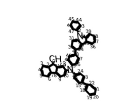 CC1c2ccccc2-c2ccc(N(c3ccc(-c4ccccc4)cc3)c3ccc(-c4ccc5c(c4)c4ccccc4n5-c4ccccc4)cc3)cc21